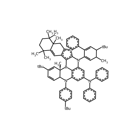 CC1C=C(N2c3cc(N(c4ccccc4)c4ccccc4)cc4c3B(c3c2oc2c3C=C3C(C)(C)CCC(C)(C)C3(C)C2)[C@@]2(C)C=C(C(C)(C)C)C=CC2N4c2ccc(C(C)(C)C)cc2)C(c2ccccc2)=CC1C(C)(C)C